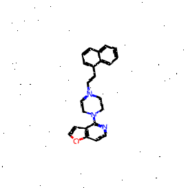 c1ccc2c(CCN3CCN(c4nccc5occc45)CC3)cccc2c1